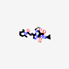 CC(C)Cn1c(=O)c(C(=O)NC2CC2)c(O)n2ncc(/C=C/C(=O)N3C(C)CCCC3C)c12